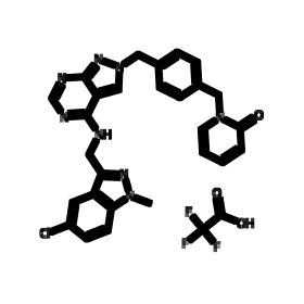 Cn1nc(CNc2ncnc3nn(Cc4ccc(Cn5ccccc5=O)cc4)cc23)c2cc(Cl)ccc21.O=C(O)C(F)(F)F